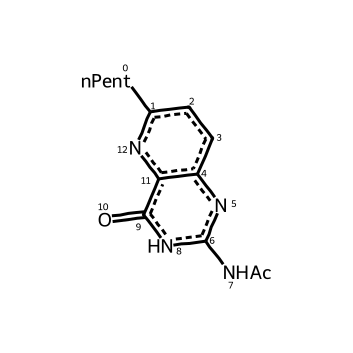 CCCCCc1ccc2nc(NC(C)=O)[nH]c(=O)c2n1